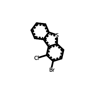 Clc1c(Br)ccc2sc3ccccc3c12